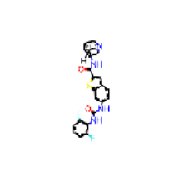 O=C(Nc1ccc2cc(C(=O)N[C@H]3CN4CCC3CC4)sc2c1)Nc1c(F)cccc1F